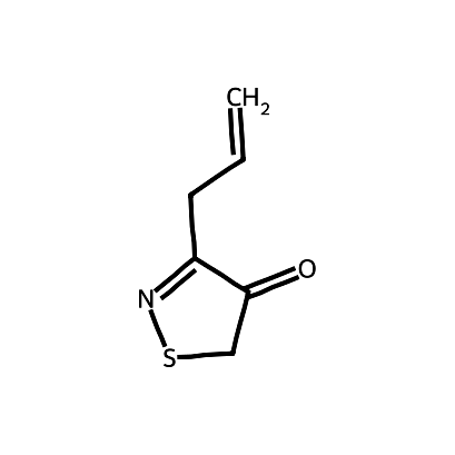 C=CCC1=NSCC1=O